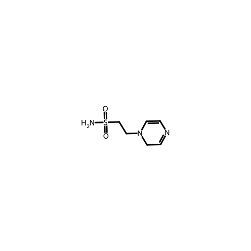 NS(=O)(=O)CCN1C=CN=CC1